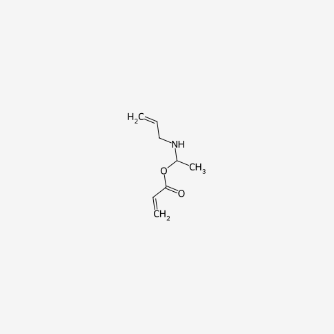 C=CCNC(C)OC(=O)C=C